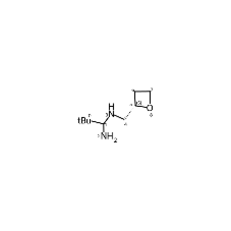 CC(C)(C)C(N)NC[C@@H]1CCO1